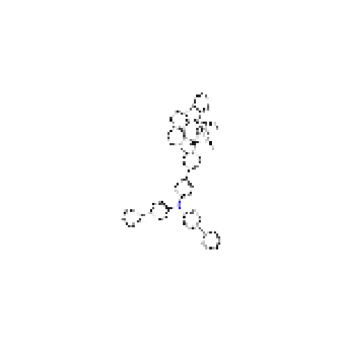 C[Si]1(C)c2ccccc2-c2ccc3ccc4c(c3c21)[Si](C)(C)c1ccc(-c2ccc(N(c3ccc(-c5ccccc5)cc3)c3ccc(-c5ccccc5)cc3)cc2)cc1-4